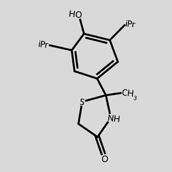 CC(C)c1cc(C2(C)NC(=O)CS2)cc(C(C)C)c1O